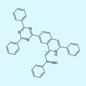 N=C(/C=C1\NC(c2ccccc2)=Cc2ccc(-c3nc(-c4ccccc4)nc(-c4ccccc4)n3)cc21)c1ccccc1